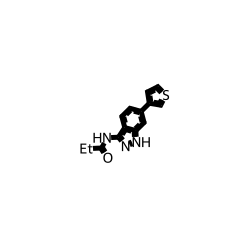 CCC(=O)Nc1n[nH]c2cc(-c3ccsc3)ccc12